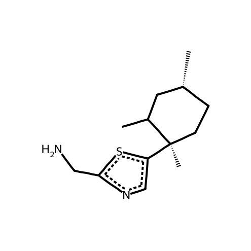 CC1C[C@H](C)CC[C@@]1(C)c1cnc(CN)s1